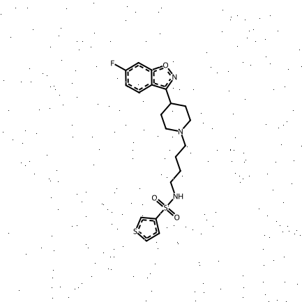 O=S(=O)(NCCCCN1CCC(c2noc3cc(F)ccc23)CC1)c1ccsc1